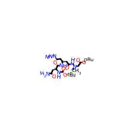 CCCCOC(=O)CN(C)NC(=O)C[C@H](CCN=[N+]=[N-])NC(=O)[C@H](CC(N)=O)NC(=O)OC(C)(C)C